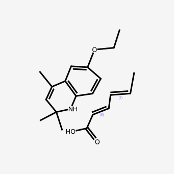 C/C=C/C=C/C(=O)O.CCOc1ccc2c(c1)C(C)=CC(C)(C)N2